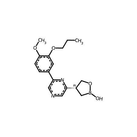 CCCOc1cc(-c2cncc([C@@H]3COB(O)C3)n2)ccc1OC